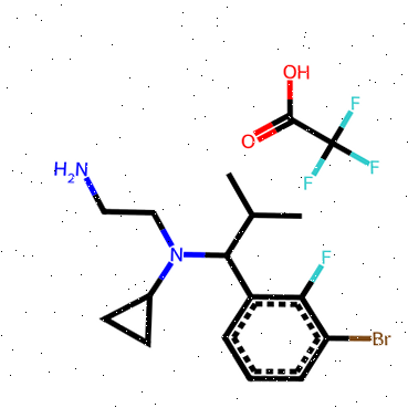 CC(C)C(c1cccc(Br)c1F)N(CCN)C1CC1.O=C(O)C(F)(F)F